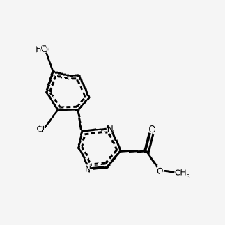 COC(=O)c1cncc(-c2ccc(O)cc2Cl)n1